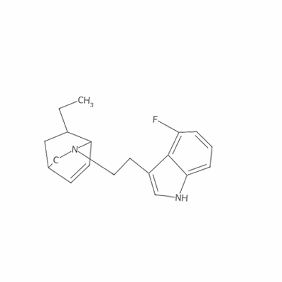 CCC1CC2C=CC1N(CCc1c[nH]c3cccc(F)c13)C2